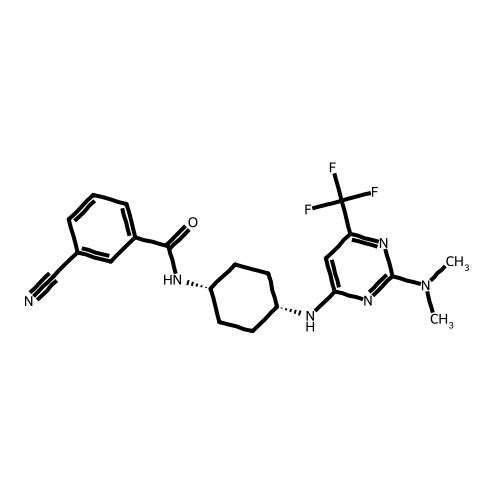 CN(C)c1nc(N[C@H]2CC[C@@H](NC(=O)c3cccc(C#N)c3)CC2)cc(C(F)(F)F)n1